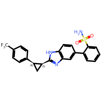 NS(=O)(=O)c1ccccc1-c1ccc2[nH]c([C@H]3C[C@H]3c3ccc(C(F)(F)F)cc3)nc2c1